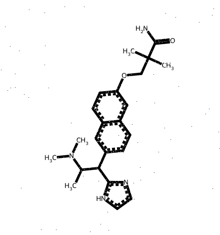 CC(C(c1ccc2cc(OCC(C)(C)C(N)=O)ccc2c1)c1ncc[nH]1)N(C)C